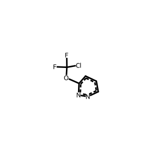 FC(F)(Cl)Oc1cccnn1